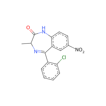 CC1N=C(c2ccccc2Cl)c2cc([N+](=O)[O-])ccc2NC1=O